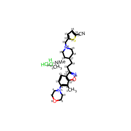 CNC.Cc1c(N2CCOCC2)ccc2c(CCC3CCN(Cc4ccc(C#N)s4)CC3)noc12.Cl.Cl